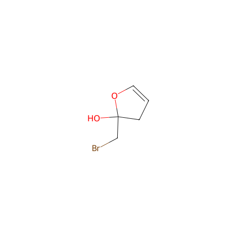 OC1(CBr)CC=CO1